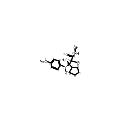 COc1ccc([S+]([O-])C(C)(C2CCCC2)C(C(=O)NO)C(C)C)cc1